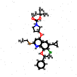 CCSc1cc(O[C@H]2CCN(C(=O)OC(C)(C)C)C2)c2cc(C3CC3)c(Br)c(O[C@@H](C)c3ccccc3)c2n1